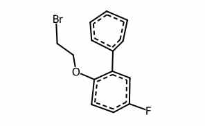 Fc1ccc(OCCBr)c(-c2ccccc2)c1